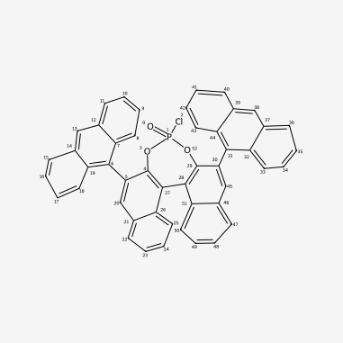 O=P1(Cl)Oc2c(-c3c4ccccc4cc4ccccc34)cc3ccccc3c2-c2c(c(-c3c4ccccc4cc4ccccc34)cc3ccccc23)O1